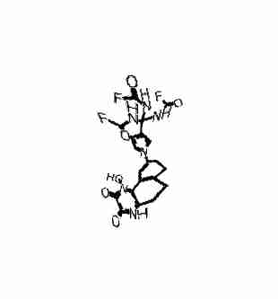 O=C(F)NC(NC(=O)F)(NC(=O)F)c1ccn(C2=CC3=C(CC2)CCc2[nH]c(=O)c(=O)n(O)c23)c1